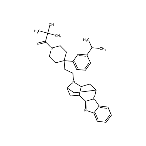 CC(C)c1cccc(C2(CCN3C4CC5c6nc7ccccc7n6C(C4)CC53)CCN(C(=O)C(C)(C)O)CC2)c1